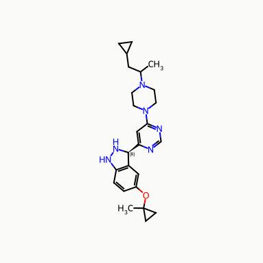 CC(CC1CC1)N1CCN(c2cc([C@@H]3NNc4ccc(OC5(C)CC5)cc43)ncn2)CC1